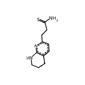 NC(=S)CCc1ccc2c(n1)NCCC2